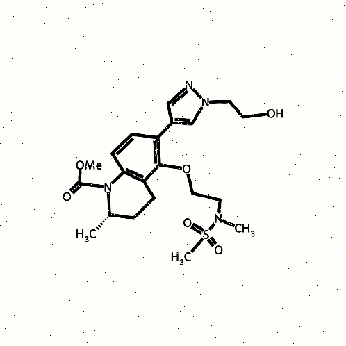 COC(=O)N1c2ccc(-c3cnn(CCO)c3)c(OCCN(C)S(C)(=O)=O)c2CC[C@@H]1C